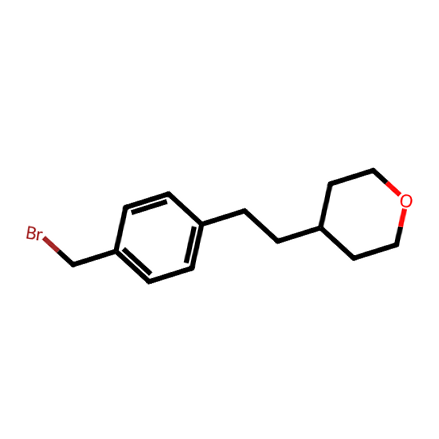 BrCc1ccc(CCC2CCOCC2)cc1